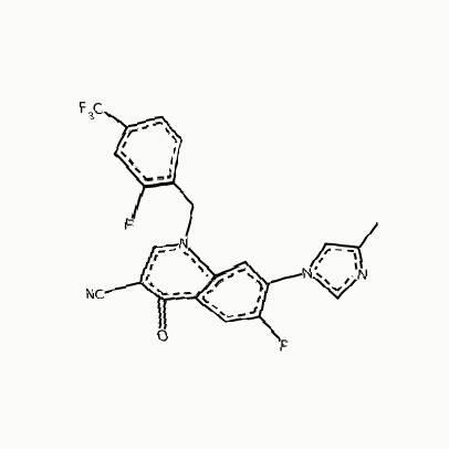 Cc1cn(-c2cc3c(cc2F)c(=O)c(C#N)cn3Cc2ccc(C(F)(F)F)cc2F)cn1